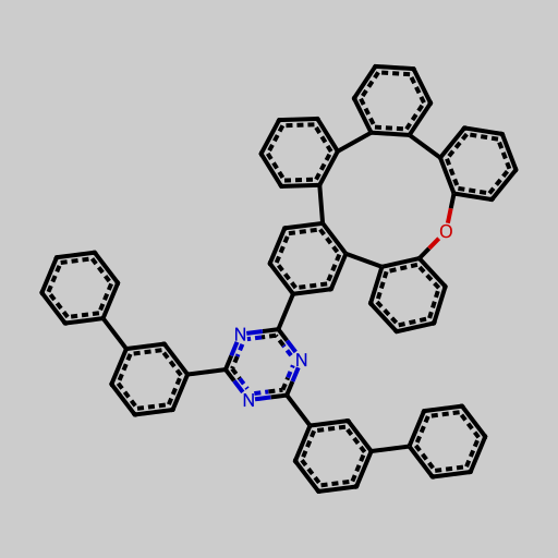 c1ccc(-c2cccc(-c3nc(-c4cccc(-c5ccccc5)c4)nc(-c4ccc5c(c4)-c4ccccc4Oc4ccccc4-c4ccccc4-c4ccccc4-5)n3)c2)cc1